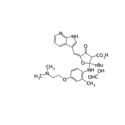 CCCCC1(Nc2ccc(OCCN(C)C)cc2C)OC(=Cc2c[nH]c3ncccc23)C(=O)C1C(=O)O.O=CO